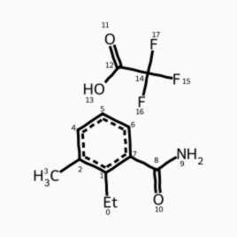 CCc1c(C)cccc1C(N)=O.O=C(O)C(F)(F)F